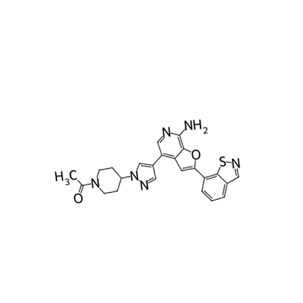 CC(=O)N1CCC(n2cc(-c3cnc(N)c4oc(-c5cccc6cnsc56)cc34)cn2)CC1